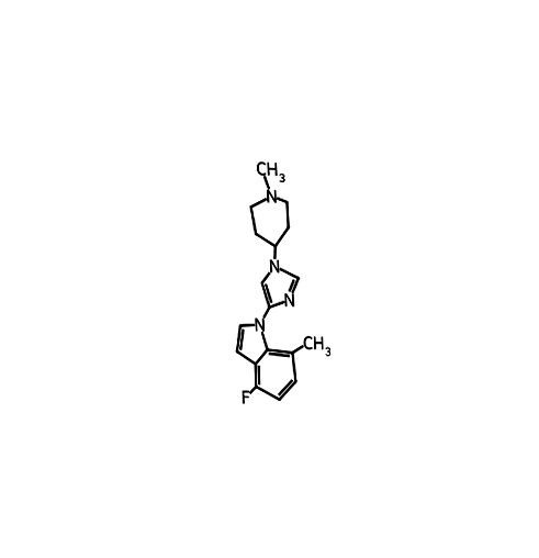 Cc1ccc(F)c2ccn(-c3cn(C4CCN(C)CC4)cn3)c12